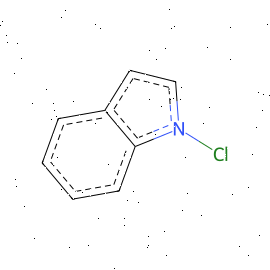 Cln1ccc2ccccc21